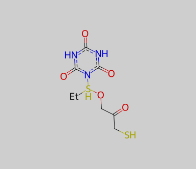 CC[SH](OCC(=O)CS)n1c(=O)[nH]c(=O)[nH]c1=O